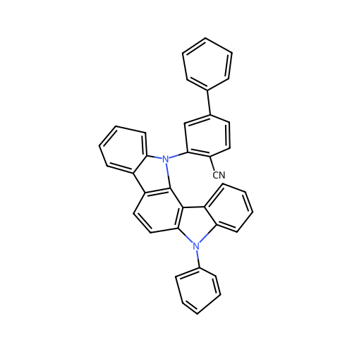 N#Cc1ccc(-c2ccccc2)cc1-n1c2ccccc2c2ccc3c(c4ccccc4n3-c3ccccc3)c21